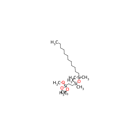 CCCCCCCCCCCC[Si](C)(C)O[Si](C)(C)CC[Si](OC)(OC)OC